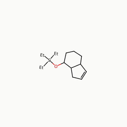 CC[Si](CC)(CC)OC1CCCC2C=CCC21